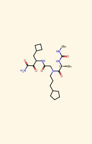 CC(C)(C)NC(=O)N[C@H](C(=O)N(CCCC1CCCC1)CC(=O)NC(CC1CCC1)C(=O)C(N)=O)C(C)(C)C